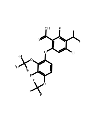 [2H]C([2H])([2H])Oc1c(Oc2cc(Cl)c(C(F)F)c(F)c2C(=O)O)ccc(OC(F)(F)F)c1F